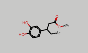 CC(=O)CC(CC(=O)OC(C)C)c1ccc(O)c(O)c1